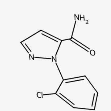 NC(=O)c1ccnn1-c1ccccc1Cl